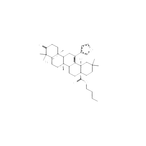 CCCCOC(=O)[C@]12CCC(C)(C)C[C@H]1C1=C(c3ccoc3)CC3[C@@]4(C)CCC(=O)C(C)(C)[C@@H]4CC[C@@]3(C)[C@]1(C)CC2